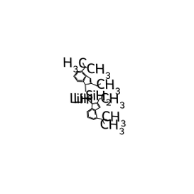 CCC1=Cc2c(C(C)C)cccc2C1C[SiH2]CC1C(CC)=Cc2c(C(C)C)cccc21.[LiH].[LiH]